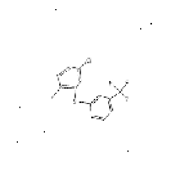 Cc1ccc(Cl)cc1Sc1cccc(C(F)(F)F)c1